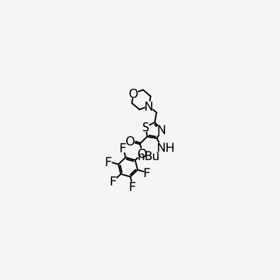 CCCCNc1nc(CN2CCOCC2)sc1C(=O)Oc1c(F)c(F)c(F)c(F)c1F